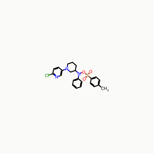 Cc1ccc(S(=O)(=O)ON(c2ccccc2)C2CCCN(c3ccc(Cl)nc3)C2)cc1